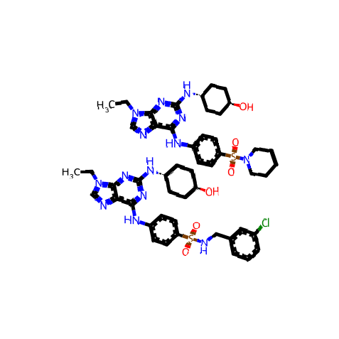 CCn1cnc2c(Nc3ccc(S(=O)(=O)N4CCCCC4)cc3)nc(N[C@H]3CC[C@H](O)CC3)nc21.CCn1cnc2c(Nc3ccc(S(=O)(=O)NCc4cccc(Cl)c4)cc3)nc(N[C@H]3CC[C@H](O)CC3)nc21